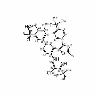 Cc1nc(-c2ccc(C(F)(F)F)cc2)c(-c2cc(-c3cc(F)c(CO)c(S(C)(=O)=O)c3)ccc2N/C=C(/Cl)C(=N)C(F)(F)F)o1